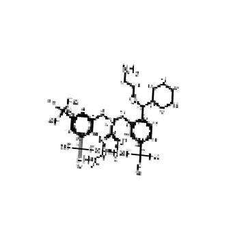 Cn1nnc(N(Cc2cc(C(F)(F)F)cc(C(F)(F)F)c2)Cc2cc(C(F)(F)F)ccc2C(OCCN)C2CCCCC2)n1